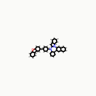 c1ccc2c(c1)-c1cc3ccccc3cc1-n1c(cc3ccccc31)N2c1ccc(-c2ccc3oc4ccccc4c3c2)cc1